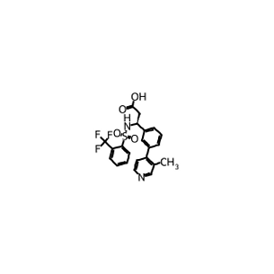 Cc1cnccc1-c1cccc([C@H](CC(=O)O)NS(=O)(=O)c2ccccc2C(F)(F)F)c1